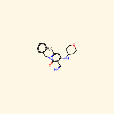 Cc1cc(NC2CCOCC2)c(C=N)c(=O)n1Cc1ccccc1